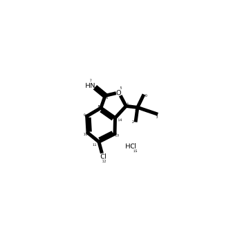 CC(C)(C)C1OC(=N)c2ccc(Cl)cc21.Cl